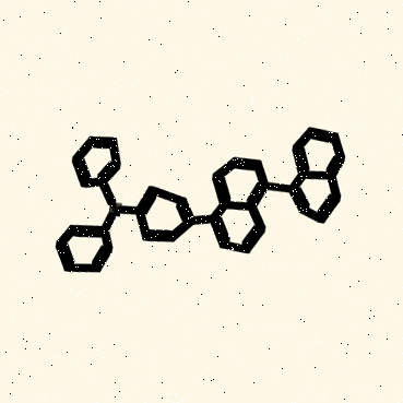 c1ccc(N(c2ccccc2)c2ccc(-c3cccc4c(-c5cccc6ccccc56)cccc34)cc2)cc1